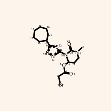 CN1CCC(OC(=O)CBr)N(c2nnc(C3CCCCCC3)s2)C1=O